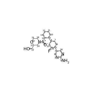 Nc1ncc(-c2ccc(-c3ccccc3[S+]([O-])N3CCOC(CO)C3)cc2F)cn1